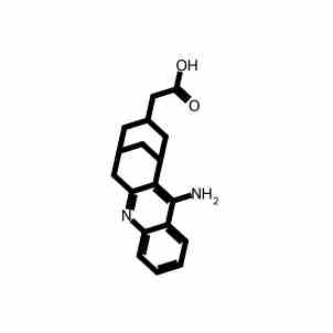 Nc1c2c(nc3ccccc13)CC1CC(CC(=O)O)CC2C1